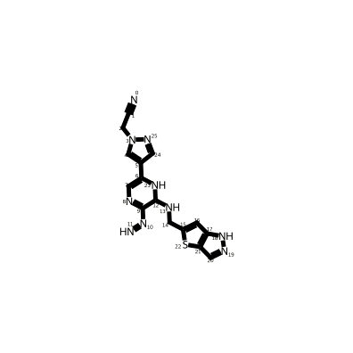 N#CCn1cc(C2=CN=C(N=N)C(NCc3cc4[nH]ncc4s3)N2)cn1